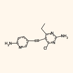 CCc1nc(N)nc(Cl)c1C#Cc1ccc(N)nc1